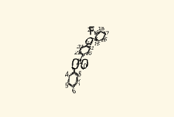 O=C(Oc1ccccc1)c1ccc(Oc2ccccc2F)cc1